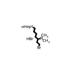 Br.CCCCCCCCCCCC(CCBr)N(C)C